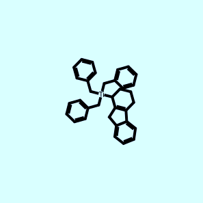 c1ccc([CH2][Ti]([CH2]c2ccccc2)([CH2]c2ccccc2)[CH]2CCCC3=C2Cc2ccccc23)cc1